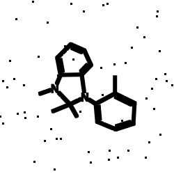 Cc1ccccc1N1c2ccccc2N(C)C1(C)C